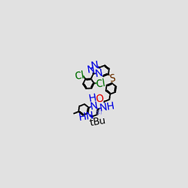 CC1=CC=C(N/C(=C\C(=N)C(C)(C)C)NC(=O)Cc2ccc(Sc3ccc4nnc(-c5c(Cl)cccc5Cl)n4c3)cc2)CC1